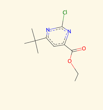 CCOC(=O)c1cc(C(C)(C)C)nc(Cl)n1